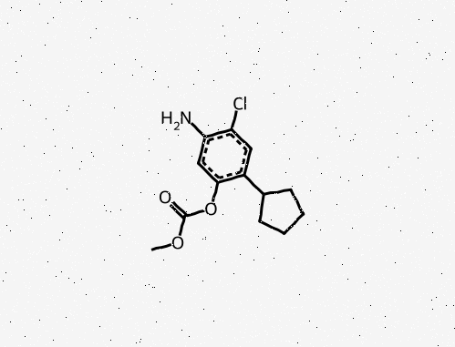 COC(=O)Oc1cc(N)c(Cl)cc1C1CCCC1